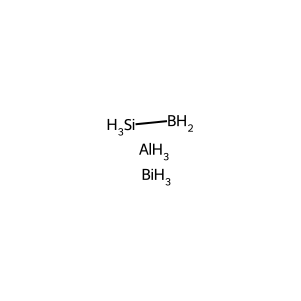 B[SiH3].[AlH3].[BiH3]